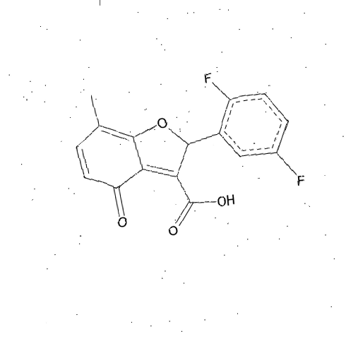 CC1=C2OC(c3cc(F)ccc3F)C(C(=O)O)=C2C(=O)C=C1